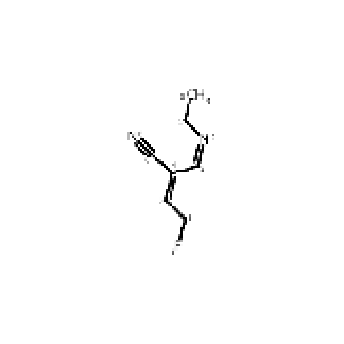 CC/N=C\C(C#N)=C/CF